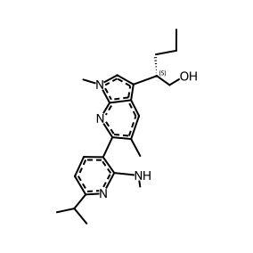 CCC[C@H](CO)c1cn(C)c2nc(-c3ccc(C(C)C)nc3NC)c(C)cc12